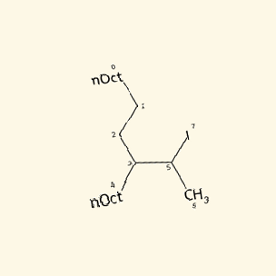 CCCCCCCCCCC(CCCCCCCC)C(C)I